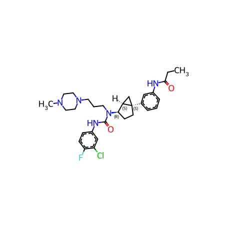 CCC(=O)Nc1cccc([C@]23CC[C@@H](N(CCCN4CCN(C)CC4)C(=O)Nc4ccc(F)c(Cl)c4)[C@H]2C3)c1